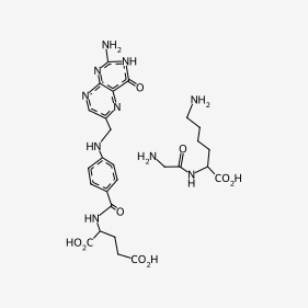 NCCCCC(NC(=O)CN)C(=O)O.Nc1nc2ncc(CNc3ccc(C(=O)NC(CCC(=O)O)C(=O)O)cc3)nc2c(=O)[nH]1